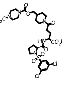 CN1CCN(C(=O)OCC2CCN(C(=O)CCC(NC(=O)[C@@H]3CCCN3S(=O)(=O)c3cc(Cl)cc(Cl)c3)C(=O)O)CC2)CC1